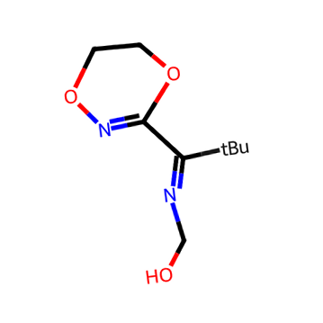 CC(C)(C)/C(=N\CO)C1=NOCCO1